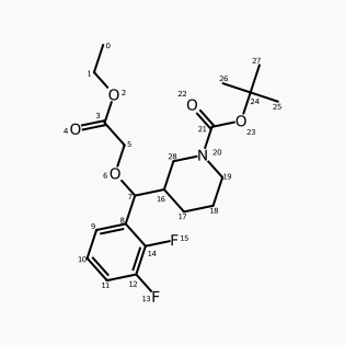 CCOC(=O)COC(c1cccc(F)c1F)C1CCCN(C(=O)OC(C)(C)C)C1